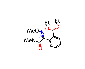 CCOC(OCC)c1ccccc1/C(=N/OC)C(=O)NC